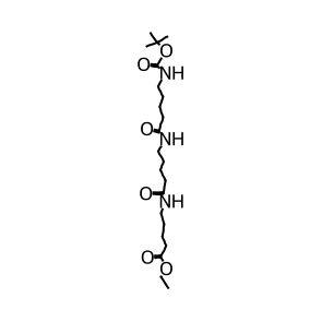 CCOC(=O)CCCCNC(=O)CCCCNC(=O)CCCCNC(=O)OC(C)(C)C